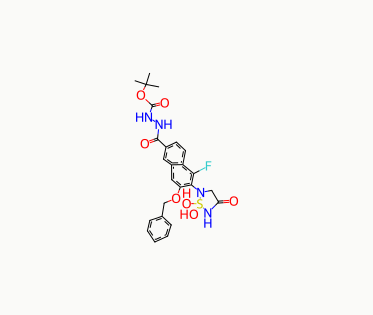 CC(C)(C)OC(=O)NNC(=O)c1ccc2c(F)c(N3CC(=O)NS3(O)O)c(OCc3ccccc3)cc2c1